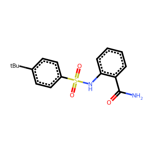 CC(C)(C)c1ccc(S(=O)(=O)Nc2ccccc2C(N)=O)cc1